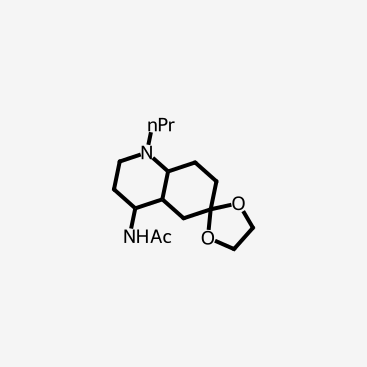 CCCN1CCC(NC(C)=O)C2CC3(CCC21)OCCO3